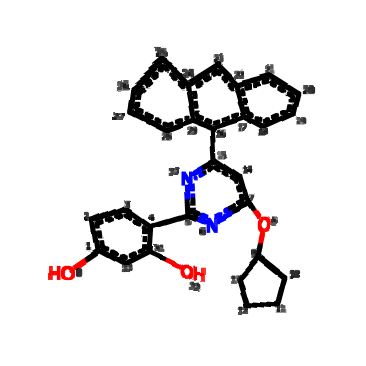 Oc1ccc(-c2nc(OC3CCCC3)cc(-c3c4ccccc4cc4ccccc34)n2)c(O)c1